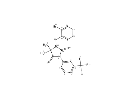 CC1(C)C(=O)N(c2ccnc(C(F)(F)F)c2)C(=O)N1Cc1ccccc1Br